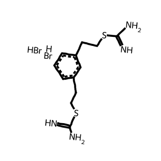 Br.Br.N=C(N)SCCc1cccc(CCSC(=N)N)c1